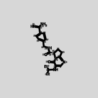 CCC(CC)Nc1cnc2n(c1=O)[C@H](C(=O)NCc1ccc(C(=N)N)cc1)CC2